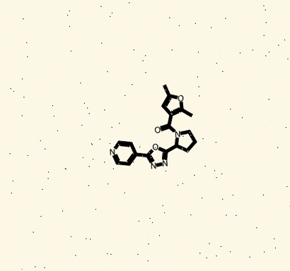 Cc1cc(C(=O)N2CCCC2c2nnc(-c3ccncc3)o2)c(C)o1